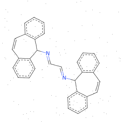 C1=Cc2ccccc2C(N=CC=NC2c3ccccc3C=Cc3ccccc32)c2ccccc21